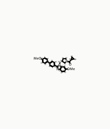 COc1ccc(-c2ccc(-c3nc4ccc(OC)cc4n3C[C@@H]3CCN(C(=O)C4CC4)C3)cc2)cc1